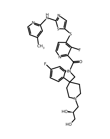 Cc1ccnc(Nc2ncc(Sc3ccnc(C(=O)NCC4(c5ccc(F)cc5)CCN(C[C@H](O)CO)CC4)c3F)s2)c1